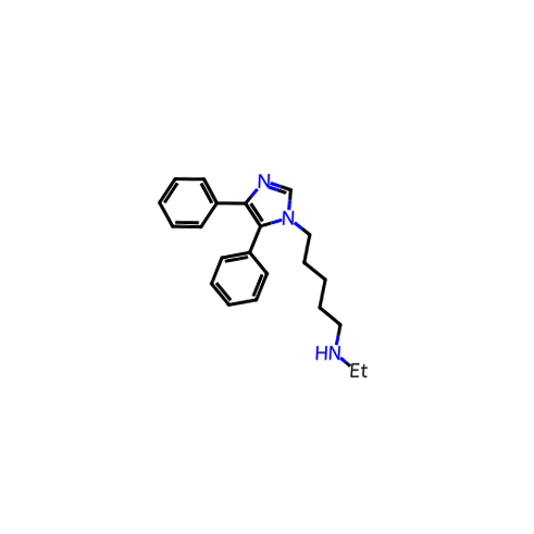 CCNCCCCCn1cnc(-c2ccccc2)c1-c1ccccc1